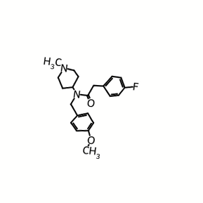 COc1ccc(CN(C(=O)Cc2ccc(F)cc2)C2CCN(C)CC2)cc1